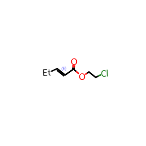 CC/C=C/C(=O)OCCCl